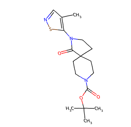 Cc1cnsc1N1CCC2(CCN(C(=O)OC(C)(C)C)CC2)C1=O